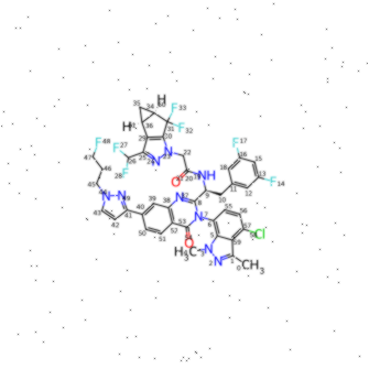 Cc1nn(C)c2c(-n3c([C@H](Cc4cc(F)cc(F)c4)NC(=O)Cn4nc(C(F)F)c5c4C(F)(F)[C@@H]4C[C@H]54)nc4cc(-c5ccn(CCCF)n5)ccc4c3=O)ccc(Cl)c12